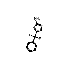 Nc1nc(C(F)(F)c2ccccc2)cs1